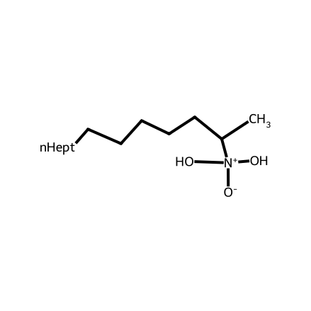 CCCCCCCCCCCCC(C)[N+]([O-])(O)O